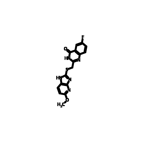 COc1ccc2[nH]c(SCc3nc4ccc(F)cc4c(=O)[nH]3)nc2n1